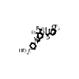 CCc1c(C(F)F)c(NC(=O)c2cccc(C(F)(F)F)n2)cc2cn(C3CCC(C(=O)O)CC3)nc12